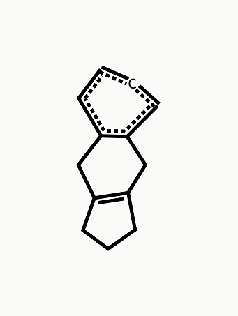 c1ccc2c(c1)CC1=C(CCC1)C2